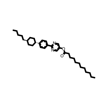 CCCCCCCCCCCC(=O)Oc1cnc(-c2ccc([C@H]3CC[C@H](CCCCC)CC3)cc2)nc1